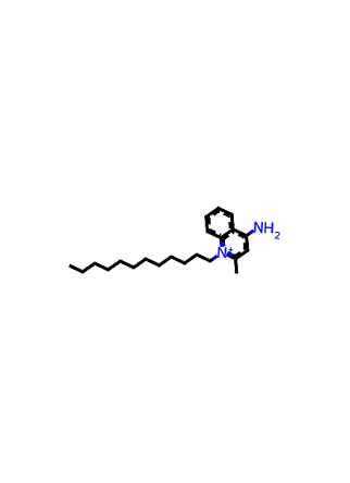 CCCCCCCCCCCC[n+]1c(C)cc(N)c2ccccc21